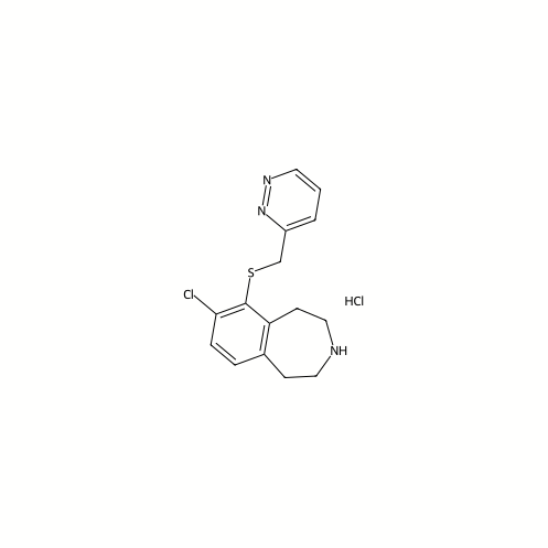 Cl.Clc1ccc2c(c1SCc1cccnn1)CCNCC2